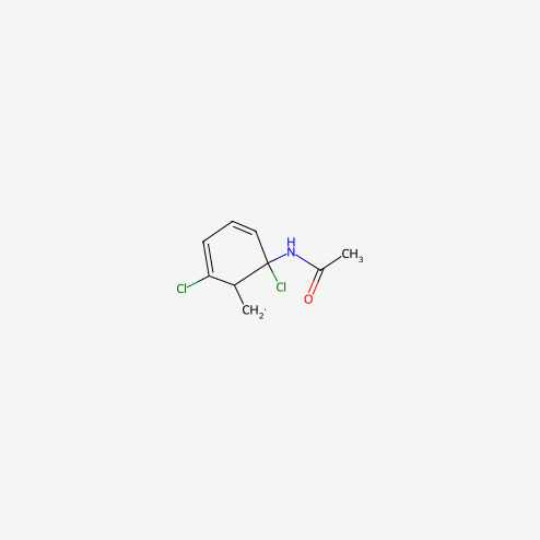 [CH2]C1C(Cl)=CC=CC1(Cl)NC(C)=O